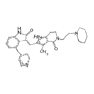 Cc1c(/C=C2\C(=O)Nc3cccc(-c4ccncc4)c32)[nH]c2c1C(=O)N(CCN1CCCCC1)CC2